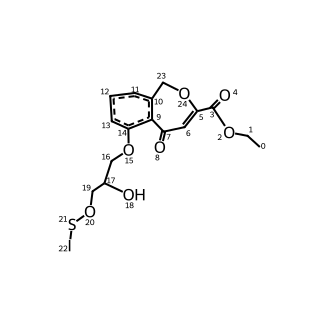 CCOC(=O)C1=CC(=O)c2c(cccc2OCC(O)COSI)CO1